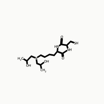 CC(O)CN(CCCCC1NC(=O)C(CS)NC1=O)CC(C)O